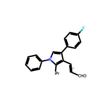 CC(C)c1c(/C=C/C=O)c(-c2ccc(F)cc2)cn1-c1ccccc1